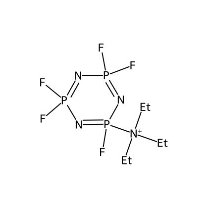 CC[N+](CC)(CC)P1(F)=NP(F)(F)=NP(F)(F)=N1